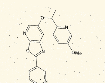 COc1ccc(C(C)Oc2cnc3oc(-c4cccnc4)nc3c2)nc1